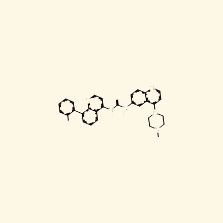 CN1CCN(c2ccnc3ccc(NC(=O)Nc4ccnc5c(-c6ccccc6F)cccc45)cc23)CC1